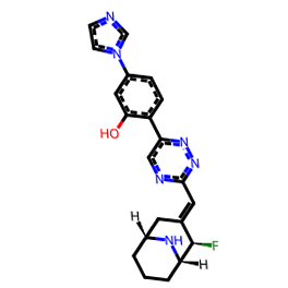 Oc1cc(-n2ccnc2)ccc1-c1cnc(/C=C2\C[C@H]3CCC[C@H](N3)[C@@H]2F)nn1